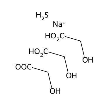 O=C(O)CO.O=C(O)CO.O=C([O-])CO.S.[Na+]